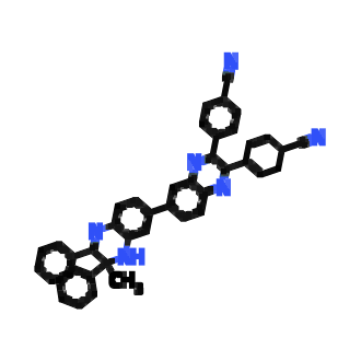 CC1(c2ccccc2)Nc2cc(-c3ccc4nc(C5=CCC(C#N)C=C5)c(-c5ccc(C#N)cc5)nc4c3)ccc2N=C1c1ccccc1